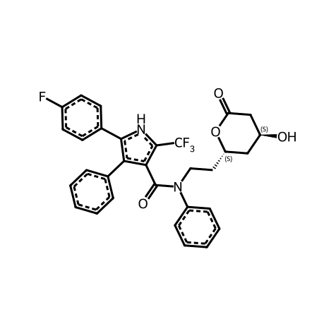 O=C1C[C@@H](O)C[C@H](CCN(C(=O)c2c(C(F)(F)F)[nH]c(-c3ccc(F)cc3)c2-c2ccccc2)c2ccccc2)O1